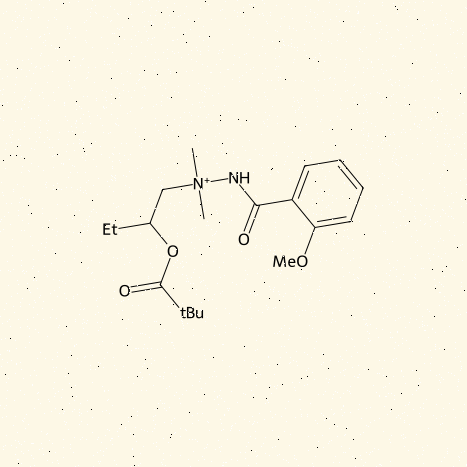 CCC(C[N+](C)(C)NC(=O)c1ccccc1OC)OC(=O)C(C)(C)C